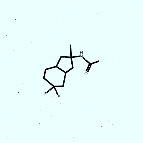 CC(=O)NC1(C)CC2CCC(F)(F)CC2C1